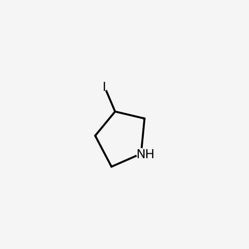 IC1CCNC1